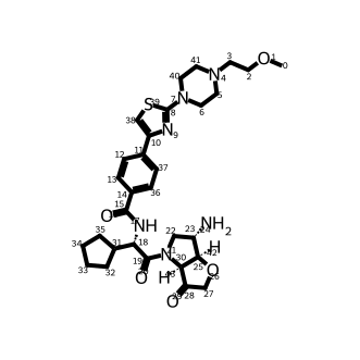 COCCN1CCN(c2nc(-c3ccc(C(=O)N[C@H](C(=O)N4C[C@H](N)[C@H]5OCC(=O)[C@H]54)C4CCCC4)cc3)cs2)CC1